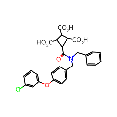 O=C(O)C1C(C(=O)O)C(C(=O)N(Cc2ccccc2)Cc2ccc(Oc3cccc(Cl)c3)cc2)C1C(=O)O